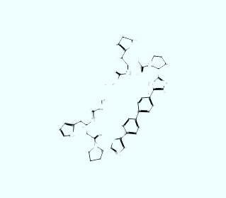 COC(=O)N[C@@H](CC(=O)N1CCC[C@H]1c1ncc(-c2ccc(-c3ccc(-c4cnc([C@@H]5CCCN5C(=O)C[C@@H](Cc5cccs5)NC(=O)OC)[nH]4)cc3)cc2)[nH]1)CC1=CCCS1